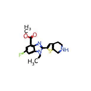 CCn1c(-c2cc3c(s2)CNCC3)nc2c(C(=O)OC)cc(F)cc21